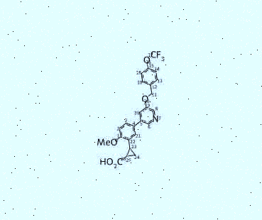 COc1ccc(-c2cncc(OCc3ccc(OC(F)(F)F)cc3)c2)cc1C1CC1C(=O)O